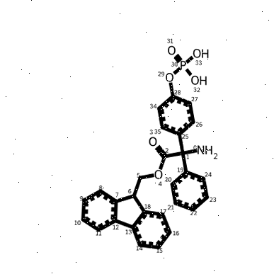 NC(C(=O)OCC1c2ccccc2-c2ccccc21)(c1ccccc1)c1ccc(OP(=O)(O)O)cc1